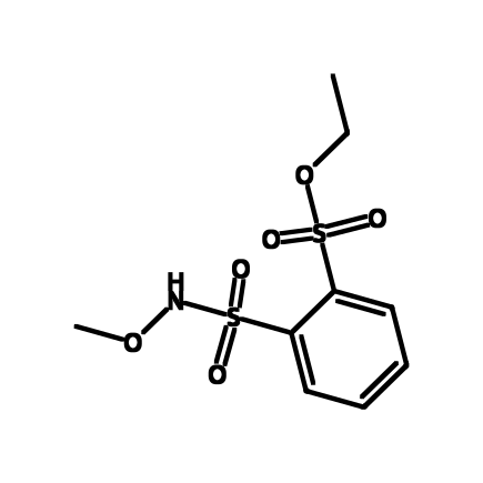 CCOS(=O)(=O)c1ccccc1S(=O)(=O)NOC